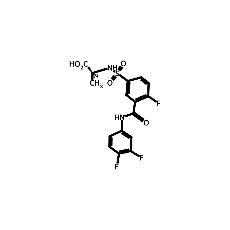 C[C@H](NS(=O)(=O)c1ccc(F)c(C(=O)Nc2ccc(F)c(F)c2)c1)C(=O)O